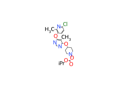 Cc1nc(Cl)ccc1Oc1ncnc(OC2CCN(OC(=O)OC(C)C)CC2)c1C